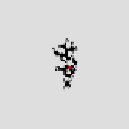 CN(C)/C=N\c1c(C(=C(F)F)C(F)(F)F)c(C#N)nn1-c1c(Cl)cc(OC(F)(F)F)cc1Cl